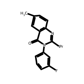 Cc1ccc2nc(C(C)C)n(-c3cccc(F)c3)c(=O)c2c1